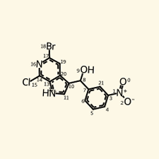 O=[N+]([O-])c1cccc(C(O)c2c[nH]c3c(Cl)nc(Br)cc23)c1